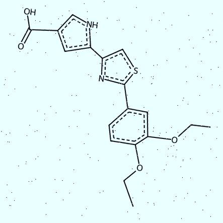 CCOc1ccc(-c2nc(-c3cc(C(=O)O)c[nH]3)cs2)cc1OCC